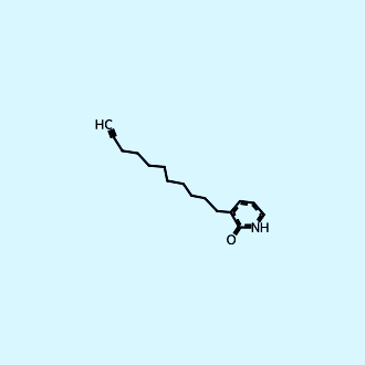 C#CCCCCCCCCCc1ccc[nH]c1=O